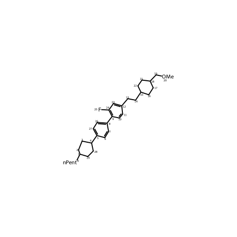 CCCCCC1CCC(c2ccc(-c3ccc(CCC4CCC(COC)CC4)cc3F)cc2)CC1